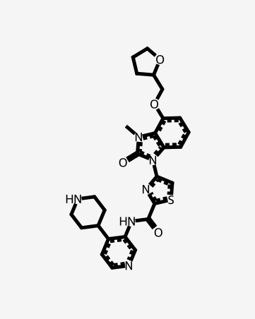 Cn1c(=O)n(-c2csc(C(=O)Nc3cnccc3C3CCNCC3)n2)c2cccc(OCC3CCCO3)c21